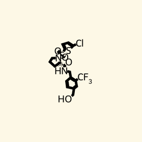 O=C(NCc1ccc(CO)cc1C(F)(F)F)[C@@H]1CCCN1S(=O)(=O)c1ccc(Cl)s1